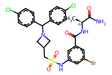 C[C@H](NC(=O)c1cc(Br)cc(NS(=O)(=O)CC2CN(C(c3ccc(Cl)cc3)c3ccc(Cl)cc3)C2)c1)C(N)=O